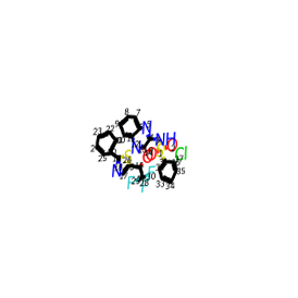 O=S(=O)(Nc1nc2ccccc2nc1OC(c1cnc(-c2ccccc2)s1)C(F)(F)F)c1ccccc1Cl